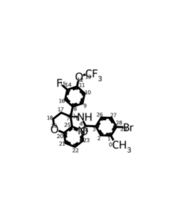 Cc1cc(C(=O)N[C@]2(c3ccc(OC(F)(F)F)c(F)c3)CCOc3cccnc32)ccc1Br